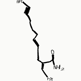 CCCC=CCCCC=CCC(=CCCC)C(N)=O